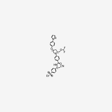 CCS(=O)(=O)c1ccc([C@H](CC#N)NC(=O)c2ccc(N3C[C@@H](Oc4ccc(-n5cccn5)cc4)C[C@H]3COC(F)F)cc2)cc1